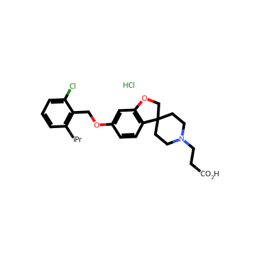 CC(C)c1cccc(Cl)c1COc1ccc2c(c1)OCC21CCN(CCC(=O)O)CC1.Cl